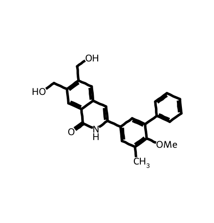 COc1c(C)cc(-c2cc3cc(CO)c(CO)cc3c(=O)[nH]2)cc1-c1ccccc1